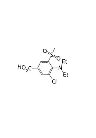 CCN(CC)c1c(Cl)cc(C(=O)O)cc1S(C)(=O)=O